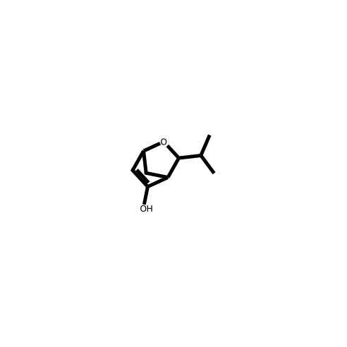 CC(C)C1OC2C=C(O)C1C2